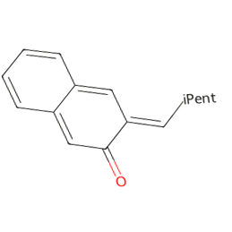 CCCC(C)/C=C1\C=c2ccccc2=CC1=O